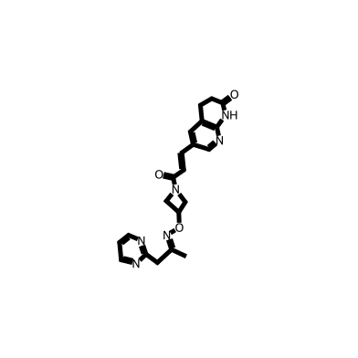 C/C(Cc1ncccn1)=N\OC1CN(C(=O)/C=C/c2cnc3c(c2)CCC(=O)N3)C1